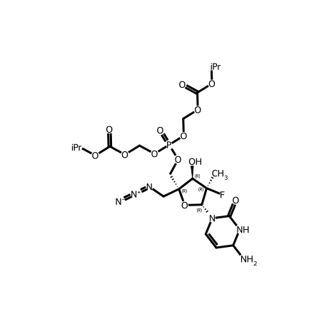 CC(C)OC(=O)OCOP(=O)(OCOC(=O)OC(C)C)OC[C@@]1(CN=[N+]=[N-])O[C@@H](N2C=CC(N)NC2=O)[C@](C)(F)[C@@H]1O